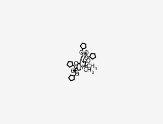 CC1(C)C(=O)N(CP(=O)(OC2CCCC2)OC2CCCC2)C(=O)N1CP(=O)(OC1CCCC1)OC1CCCC1